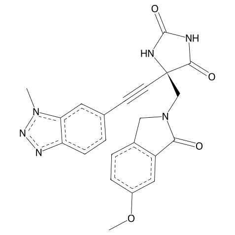 COc1ccc2c(c1)C(=O)N(C[C@@]1(C#Cc3ccc4nnn(C)c4c3)NC(=O)NC1=O)C2